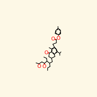 CCCC(CC1CC(=O)c2c(C)c(CCC(=O)Oc3ccc(C)cc3)cc(C(C)C)c2C1)C(CC)C(=O)CC(C)=O